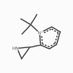 CC(C)(C)[n+]1ccccc1C1CN1